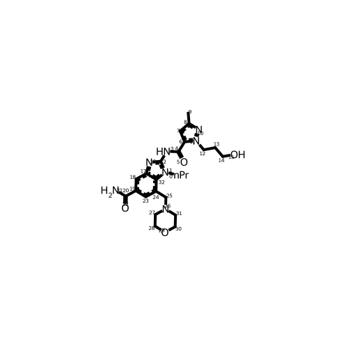 CCCn1c(NC(=O)c2cc(C)nn2CCCO)nc2cc(C(N)=O)cc(CN3CCOCC3)c21